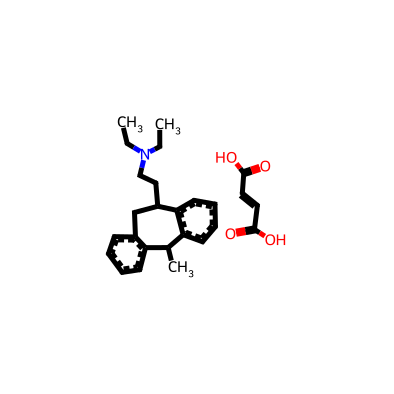 CCN(CC)CCC1Cc2ccccc2C(C)c2ccccc21.O=C(O)C=CC(=O)O